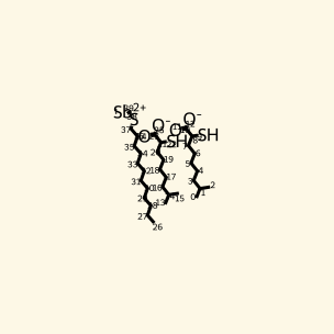 CC(C)CCCCCC(S)C(=O)[O-].CC(C)CCCCCC(S)C(=O)[O-].CCCCCCCCCCCC[S][Sb+2]